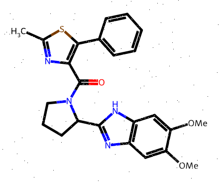 COc1cc2nc(C3CCCN3C(=O)c3nc(C)sc3-c3ccccc3)[nH]c2cc1OC